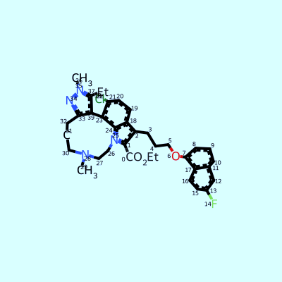 CCOC(=O)c1c(CCCOc2cccc3cc(F)ccc23)c2ccc(Cl)c3c2n1CCN(C)CCCc1nn(C)c(CC)c1-3